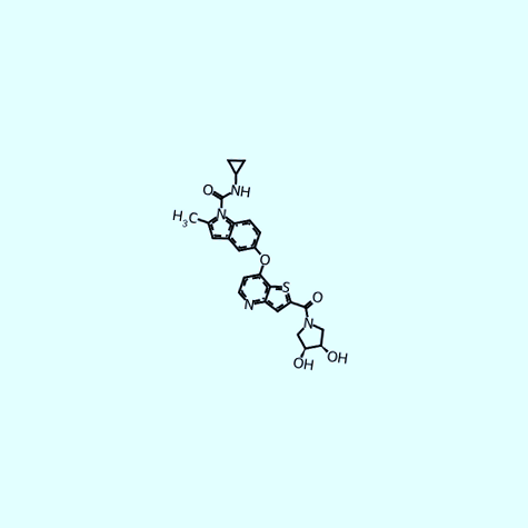 Cc1cc2cc(Oc3ccnc4cc(C(=O)N5C[C@@H](O)[C@@H](O)C5)sc34)ccc2n1C(=O)NC1CC1